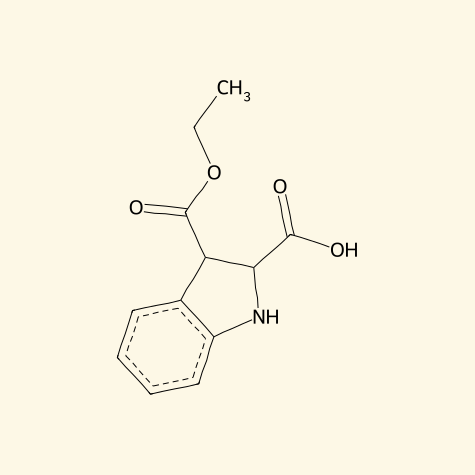 CCOC(=O)C1c2ccccc2NC1C(=O)O